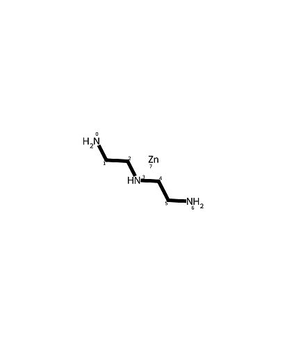 NCCNCCN.[Zn]